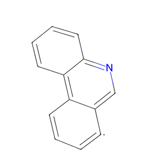 [c]1cccc2c1cnc1ccccc12